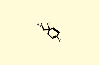 CCC1(Cl)C=CC(Cl)=CC1